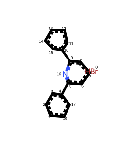 Br.c1ccc(-c2cccc(-c3ccccc3)n2)cc1